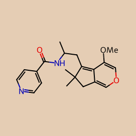 COC1=COC=C2CC(C)(C)C(CC(C)NC(=O)c3ccncc3)=C21